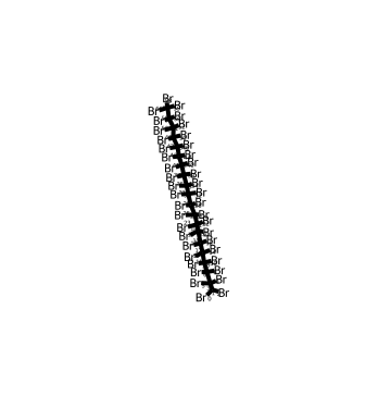 Br[C](Br)C(Br)(Br)C(Br)(Br)C(Br)(Br)C(Br)(Br)C(Br)(Br)C(Br)(Br)C(Br)(Br)C(Br)(Br)C(Br)(Br)C(Br)(Br)C(Br)(Br)C(Br)(Br)C(Br)(Br)C(Br)(Br)C(Br)(Br)C(Br)(Br)C(Br)(Br)C(Br)(Br)C(Br)(Br)Br